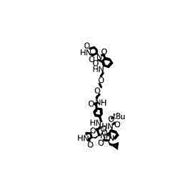 CC(C)(C)OC(=O)Nc1cccn([C@@H](CC2CC2)C(=O)N[C@@H](C[C@@H]2CCNC2=O)C(=O)C(=O)NCc2ccc(C(=O)NCCOCCOCCNc3cccc4c3C(=O)N(C3CCC(=O)NC3=O)C4=O)cc2)c1=O